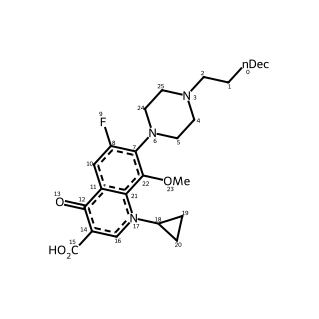 CCCCCCCCCCCCN1CCN(c2c(F)cc3c(=O)c(C(=O)O)cn(C4CC4)c3c2OC)CC1